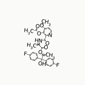 COc1ccnc(C(=O)N[C@H](C)C(=O)O[C@@H](C)C(O)(c2ccc(F)cc2)c2ccc(F)cc2)c1OC(C)=O